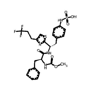 COC(=O)N[C@@H](Cc1ccccc1)C(=O)N[C@@H](Cc1ccc(NS(=O)(=O)O)cc1)c1nc(CCC(F)(F)F)cs1